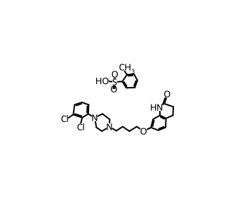 Cc1ccccc1S(=O)(=O)O.O=C1CCc2ccc(OCCCCN3CCN(c4cccc(Cl)c4Cl)CC3)cc2N1